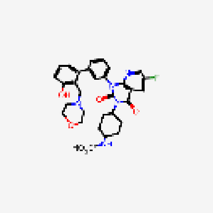 O=C(O)NC1CCC(n2c(=O)c3cc(F)cnc3n(-c3cccc(-c4cccc(O)c4CN4CCOCC4)c3)c2=O)CC1